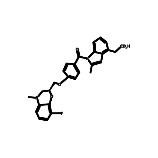 Cc1cc2c(CC(=O)O)cccc2n1C(=O)c1ccc(OC[C@@H]2CN(C)c3cccc(F)c3O2)cc1